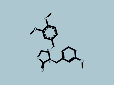 COC1=CC(C[C@H]2C(=O)OC[C@@H]2Cc2ccc(OC)c(OC)c2)=CC[CH]1